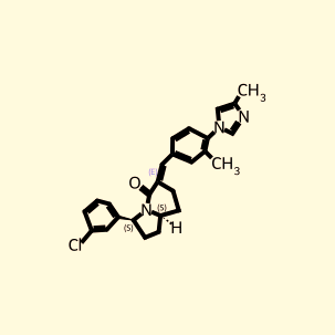 Cc1cn(-c2ccc(/C=C3\CC[C@H]4CC[C@@H](c5cccc(Cl)c5)N4C3=O)cc2C)cn1